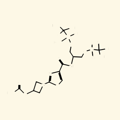 CC(=O)SC1CN(c2nc(C(=O)NC(CO[Si](C)(C)C(C)(C)C)CO[Si](C)(C)C(C)(C)C)cs2)C1